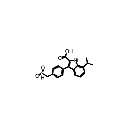 CC(C)c1cccc2c(-c3ccc(C[SH](=O)=O)cc3)c(C(=O)O)[nH]c12